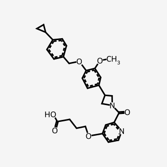 COc1cc(C2CN(C(=O)c3cc(OCCCC(=O)O)ccn3)C2)ccc1OCc1ccc(C2CC2)cc1